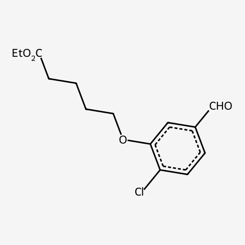 CCOC(=O)CCCCOc1cc(C=O)ccc1Cl